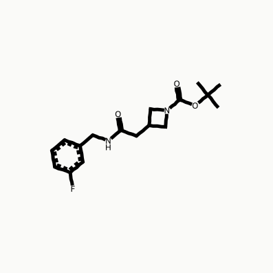 CC(C)(C)OC(=O)N1CC(CC(=O)NCc2cccc(F)c2)C1